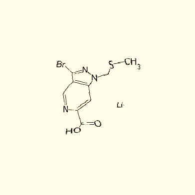 CSCn1nc(Br)c2cnc(C(=O)O)cc21.[Li]